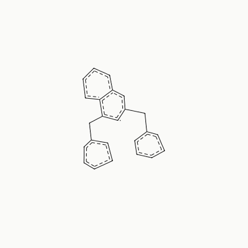 [c]1c(Cc2ccccc2)cc2ccccc2c1Cc1ccccc1